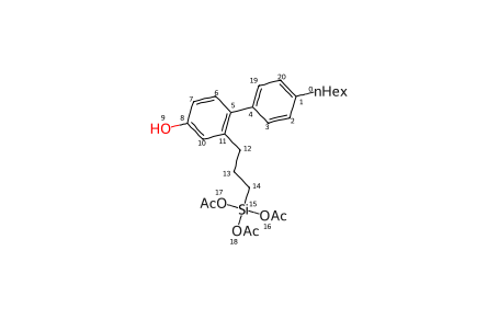 CCCCCCc1ccc(-c2ccc(O)cc2CCC[Si](OC(C)=O)(OC(C)=O)OC(C)=O)cc1